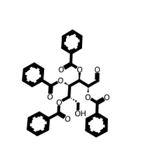 O=C[C@H](OC(=O)c1ccccc1)[C@H](OC(=O)c1ccccc1)[C@@H](OC(=O)c1ccccc1)[C@H](CO)OC(=O)c1ccccc1